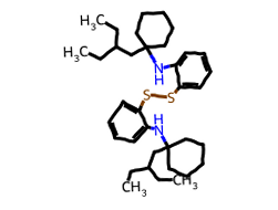 CCC(CC)CC1(Nc2ccccc2SSc2ccccc2NC2(CC(CC)CC)CCCCC2)CCCCC1